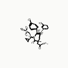 CC(C)(C)S(=O)(=O)C[C@H](C1CC1)N1C(=O)[C@@](C)(CC(N)=O)C[C@H](c2cccc(Cl)c2)[C@@H]1c1ccc(Cl)cc1